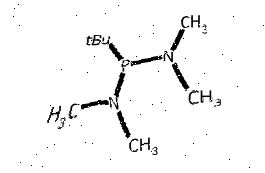 CN(C)P(N(C)C)C(C)(C)C